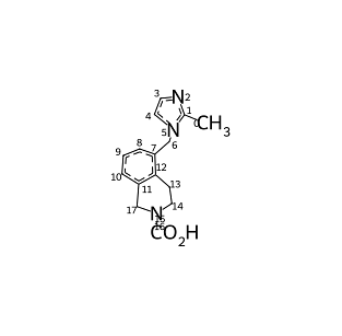 Cc1nccn1Cc1cccc2c1CCN(C(=O)O)C2